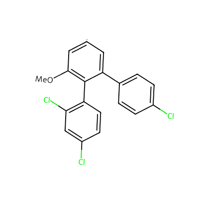 COc1c[c]cc(-c2ccc(Cl)cc2)c1-c1ccc(Cl)cc1Cl